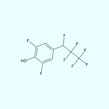 Oc1c(F)cc(C(F)C(F)(F)C(F)(F)F)cc1F